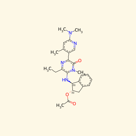 CCc1nc(-c2cnc(N(C)C)cc2C)c(=O)n(C)c1N[C@H]1c2ccccc2C[C@@H]1OC(C)=O